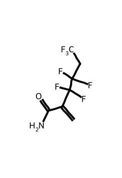 C=C(C(N)=O)C(F)(F)C(F)(F)CC(F)(F)F